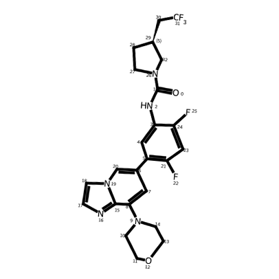 O=C(Nc1cc(-c2cc(N3CCOCC3)c3nccn3c2)c(F)cc1F)N1CC[C@@H](CC(F)(F)F)C1